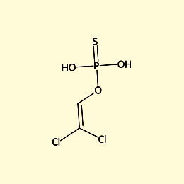 OP(O)(=S)OC=C(Cl)Cl